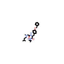 CC(C)CCN(C)CC(=O)NC(Cc1ccc(OCc2ccccc2)cc1)C(=O)NC(C)(C)C